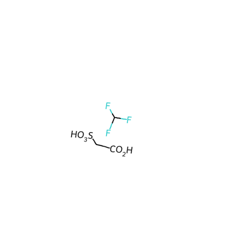 FC(F)F.O=C(O)CS(=O)(=O)O